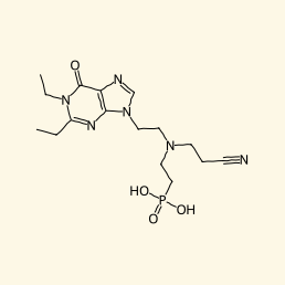 CCc1nc2c(ncn2CCN(CCC#N)CCP(=O)(O)O)c(=O)n1CC